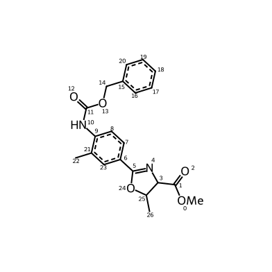 COC(=O)C1N=C(c2ccc(NC(=O)OCc3ccccc3)c(C)c2)OC1C